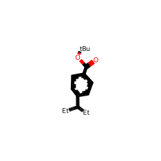 CC[C](CC)c1ccc(C(=O)OC(C)(C)C)cc1